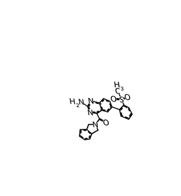 CS(=O)(=O)c1ccccc1-c1ccc2nc(N)nc(C(=O)N3Cc4ccccc4C3)c2c1